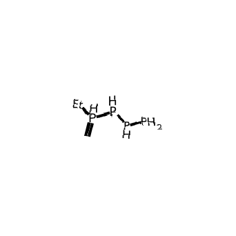 C=[PH](CC)PPP